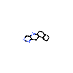 c1ccc2c(c1)ccc1nc3cncnc3cc12